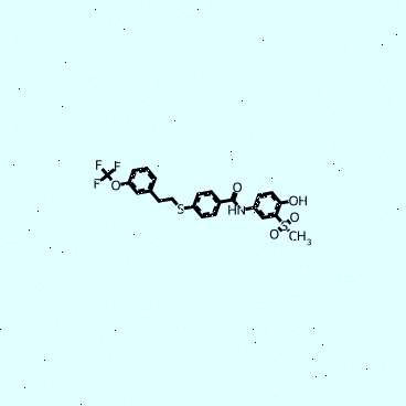 CS(=O)(=O)c1cc(NC(=O)c2ccc(SCCc3cccc(OC(F)(F)F)c3)cc2)ccc1O